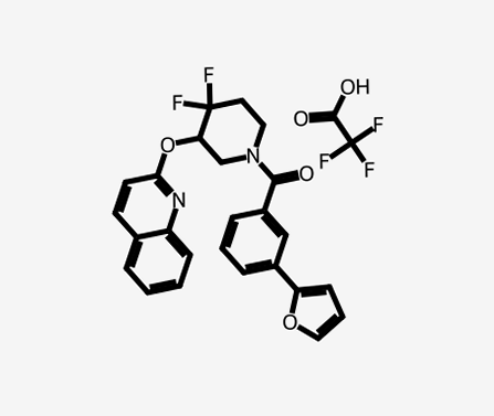 O=C(O)C(F)(F)F.O=C(c1cccc(-c2ccco2)c1)N1CCC(F)(F)C(Oc2ccc3ccccc3n2)C1